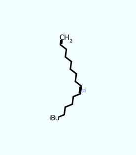 C=CCCCCCC/C=C\CCCCC(C)CC